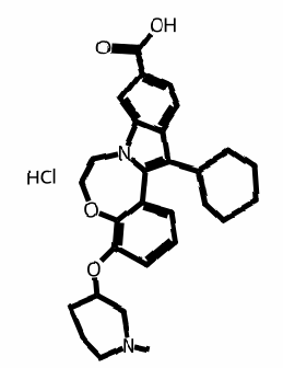 CN1CCCC(Oc2cccc3c2OCCn2c-3c(C3CCCCC3)c3ccc(C(=O)O)cc32)C1.Cl